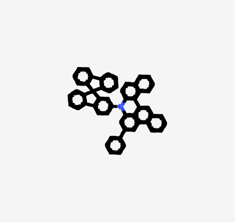 c1ccc(-c2cccc(N(c3ccc4c(c3)C3(c5ccccc5-c5ccccc53)c3ccccc3-4)c3ccc4ccccc4c3-c3ccc4ccccc4c3)c2)cc1